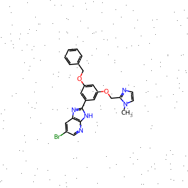 Cn1ccnc1COc1cc(OCc2ccccc2)cc(-c2nc3cc(Br)cnc3[nH]2)c1